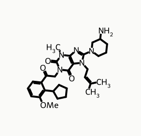 COc1cccc(C(=O)Cn2c(=O)c3c(nc(N4CCCC(N)C4)n3CC=C(C)C)n(C)c2=O)c1C1CCCC1